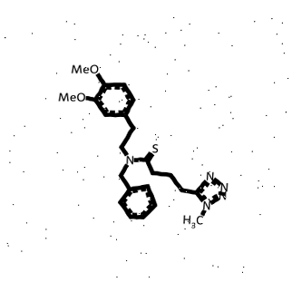 COc1ccc(CCN(Cc2ccccc2)C(=S)CCCc2nnnn2C)cc1OC